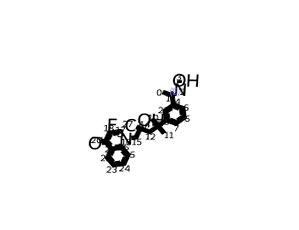 C/C(=N\O)c1cccc(C(C)(C)CC(O)(Cn2ccc(=O)c3ccccc32)C(F)(F)F)c1